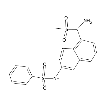 CS(=O)(=O)C(N)c1cccc2cc(NS(=O)(=O)c3ccccc3)ccc12